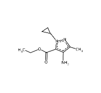 CCOC(=O)c1c(N)c(C)nn1C1CC1